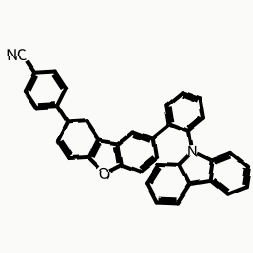 N#Cc1ccc(C2C=Cc3oc4ccc(-c5ccccc5N5c6ccccc6C6C=CC=CC65)cc4c3C2)cc1